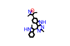 Cc1nc(-c2c(C)[nH]c3ccccc23)c2c(n1)[nH]c1cc(-c3c(C)noc3C)ccc12